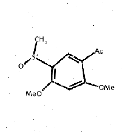 COc1cc(OC)c([S+](C)[O-])cc1C(C)=O